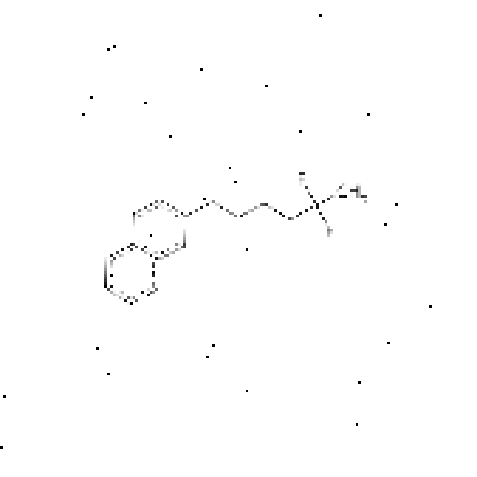 [CH2]C(F)(F)CCCCc1ccc2ccccc2c1